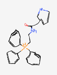 O=C(NCC[PH](c1ccccc1)(c1ccccc1)c1ccccc1)c1cccnc1